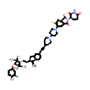 C=C1c2ccc(C#CC3CCN(C4CCN(c5cc6c(cc5F)C(=O)N(C5CCC(=O)NC5=O)C6=O)CC4)CC3)cc2CC1CC[C@H]1C(C)(C)[C@H](Oc2ccc(C#N)c(Cl)c2)C1(C)C